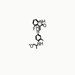 COCC(C)Nc1ccc(N/C=C2/C(=O)Nc3cccc(F)c32)cc1C